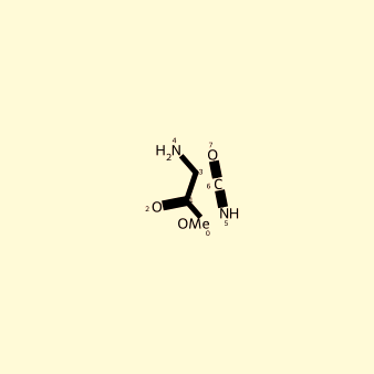 COC(=O)CN.N=C=O